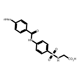 CCCCCCc1ccc(C(=O)Nc2ccc(S(=O)(=O)NCC(=O)O)cc2)cc1